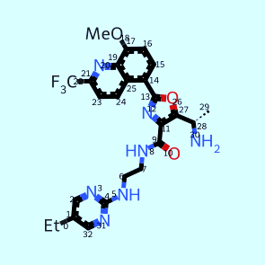 CCc1cnc(NCCNC(=O)c2nc(-c3ccc(OC)c4nc(C(F)(F)F)ccc34)oc2[C@H](C)N)nc1